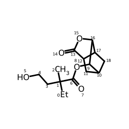 CCC(C)(CCO)C(=O)OC1C2CC3C(=O)OC1C3C2